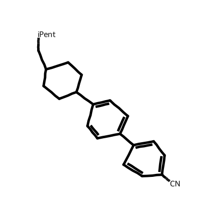 CCCC(C)CC1CCC(c2ccc(-c3ccc(C#N)cc3)cc2)CC1